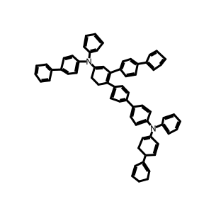 C1=CC(C2C=CC(N(c3ccccc3)c3ccc(-c4ccc(C5=C(c6ccc(-c7ccccc7)cc6)C=C(N(c6ccccc6)c6ccc(-c7ccccc7)cc6)CC5)cc4)cc3)=CC2)=CCC1